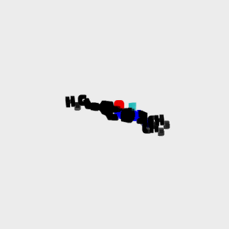 CCCC#Cc1ccc2c(c1)CCN(c1ccc(N3CC[C@@H](N(C)C)C3)c(F)c1)C2=O